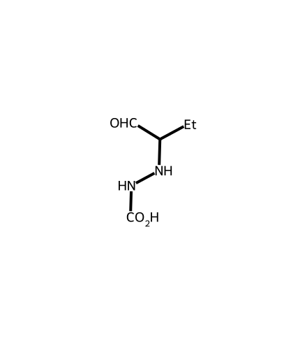 CCC(C=O)NNC(=O)O